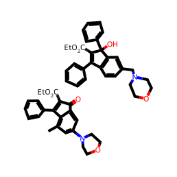 CCOC(=O)C1=C(c2ccccc2)c2c(C)cc(N3CCOCC3)cc2C1=O.CCOC(=O)C1=C(c2ccccc2)c2ccc(CN3CCOCC3)cc2C1(O)c1ccccc1